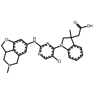 CN1Cc2cc(Nc3ncc(Cl)c(N4CC(C)(CC(=O)O)c5ccccc54)n3)cc3c2C(CO3)C1